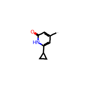 [CH2]c1cc(C2CC2)[nH]c(=O)c1